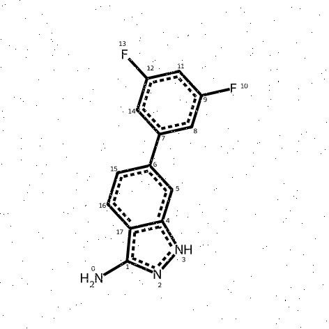 Nc1n[nH]c2cc(-c3cc(F)cc(F)c3)ccc12